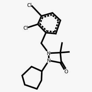 CC1(C)C(=O)N(C2CCCCC2)N1Cc1cccc(Cl)c1Cl